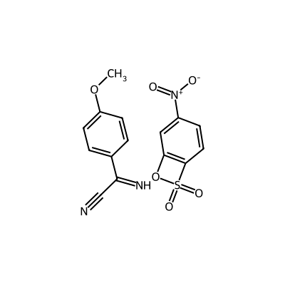 COc1ccc(C(=N)C#N)cc1.O=[N+]([O-])c1ccc2c(c1)OS2(=O)=O